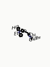 CC/C(=C(\c1ccc(O)cc1)c1ccc(OCCN(C)C/C=C/C(=O)NC)cc1)c1ccccc1